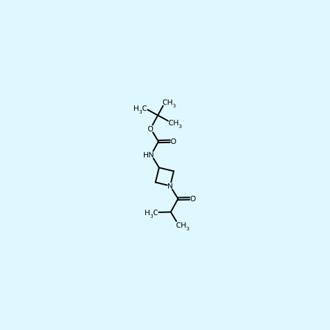 CC(C)C(=O)N1CC(NC(=O)OC(C)(C)C)C1